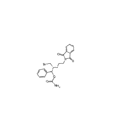 NC(=O)OC(c1ccccc1)C(CBr)CCCN1C(=O)c2ccccc2C1=O